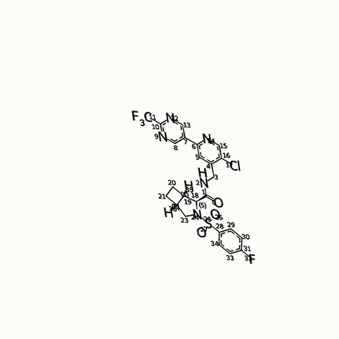 O=C(NCc1cc(-c2cnc(C(F)(F)F)nc2)ncc1Cl)[C@@H]1[C@H]2CC[C@H]2CN1S(=O)(=O)c1ccc(F)cc1